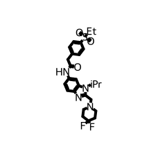 CCS(=O)(=O)c1ccc(CC(=O)Nc2ccc3nc(CN4CCC(F)(F)CC4)n(C(C)C)c3c2)cc1